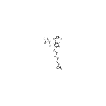 CCCCCCC[n+]1ccn(CC)c1CCCC